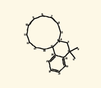 CC1(C)CN2CCCCCCCCCCC2c2ccccc21